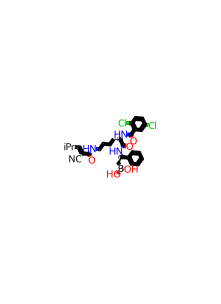 CC(C)C=C(C#N)C(=O)NCCCC[C@H](NC(=O)c1cc(Cl)ccc1Cl)C(=O)N[C@H](CB(O)O)c1ccccc1